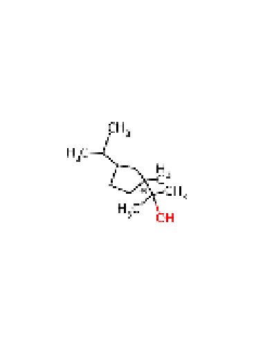 CC(C)C1CC[C@@](C)(C(C)(C)O)C1